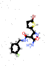 Nc1onc(-c2ccc(Br)s2)c1C(=O)NCc1cccc(F)c1